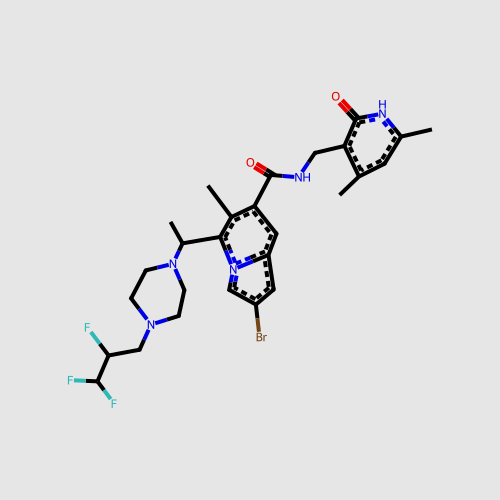 Cc1cc(C)c(CNC(=O)c2cc3cc(Br)cn3c(C(C)N3CCN(CC(F)C(F)F)CC3)c2C)c(=O)[nH]1